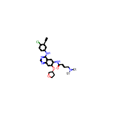 C#Cc1cc(Nc2ncnc3cc(O[C@H]4CCOC4)c(NC(=O)C=CCN(CC)CC)cc23)ccc1Cl